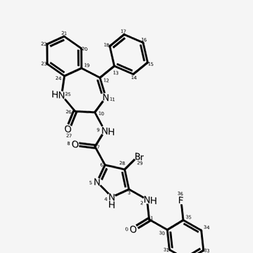 O=C(Nc1[nH]nc(C(=O)NC2N=C(c3ccccc3)c3ccccc3NC2=O)c1Br)c1ccccc1F